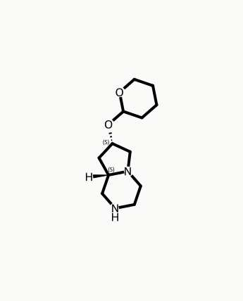 C1CCC(O[C@H]2C[C@H]3CNCCN3C2)OC1